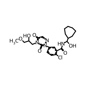 COCC(O)Cn1c(=O)cnn(-c2ccc(Cl)c(C(=O)NC(O)C3CCCCCC3)c2)c1=O